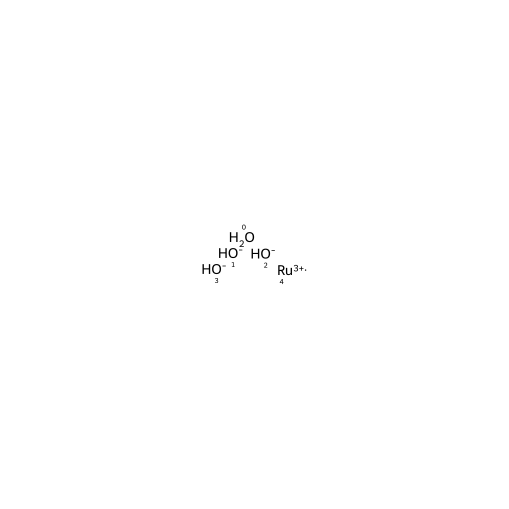 O.[OH-].[OH-].[OH-].[Ru+3]